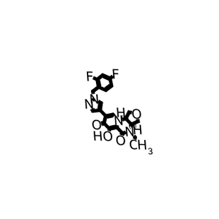 CCN1C(=O)c2c(O)c(=O)c(-c3cnn(Cc4ccc(F)cc4F)c3)cn2[C@@H]2COC[C@@H]21